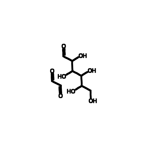 O=CC(O)C(O)C(O)C(O)CO.O=CC=O